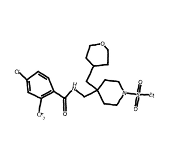 CCS(=O)(=O)N1CCC(CNC(=O)c2ccc(Cl)cc2C(F)(F)F)(CC2CCOCC2)CC1